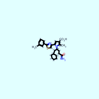 Cc1cccc(-c2nc(-c3cc(C(=O)O)c(C)n3C(CCC(N)=O)CC3CCCCC3)cs2)c1